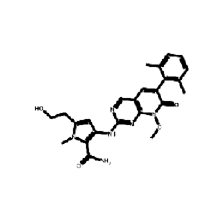 COn1c(=O)c(-c2c(C)cccc2C)cc2cnc(Nc3cc(CCO)n(C)c3C(N)=O)nc21